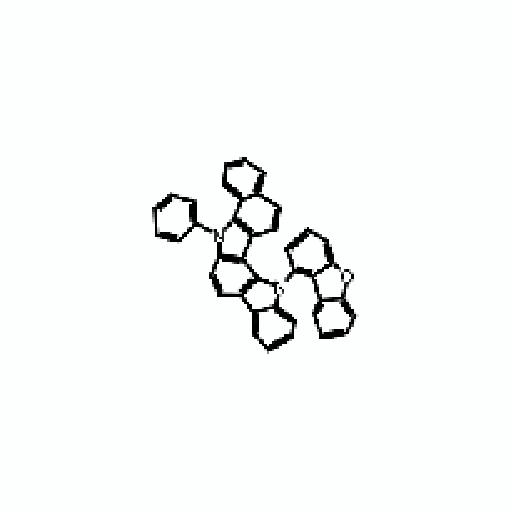 c1ccc(-n2c3ccc4c5ccccc5n(-c5cccc6oc7ccccc7c56)c4c3c3ccc4ccccc4c32)cc1